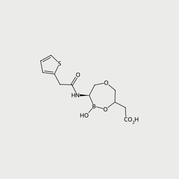 O=C(O)CC1COC[C@H](NC(=O)Cc2cccs2)B(O)O1